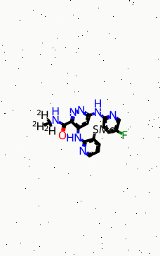 [2H]C([2H])([2H])NC(=O)c1nnc(Nc2ccc(F)cn2)cc1Nc1ncccc1SC